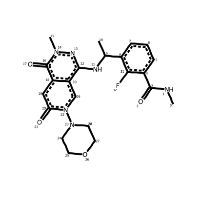 CNC(=O)c1cccc(C(C)Nc2nn(C)c(=O)c3cc(=O)n(N4CCOCC4)cc23)c1F